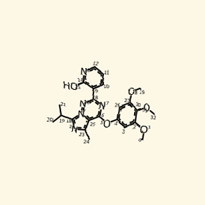 COc1cc(Oc2nc(-c3cccnc3O)nn3c(C(C)C)nc(C)c23)cc(OC)c1OC